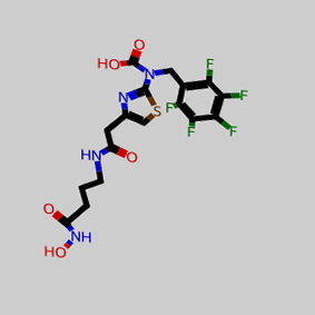 O=C(CCCNC(=O)Cc1csc(N(Cc2c(F)c(F)c(F)c(F)c2F)C(=O)O)n1)NO